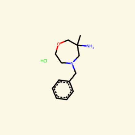 CC1(N)COCCN(Cc2ccccc2)C1.Cl